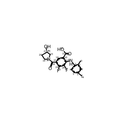 Cc1cc(I)ccc1Nc1c(C(=O)O)cc(C(=O)N2CC[C@@H](O)C2)c(F)c1F